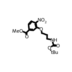 COC(=O)c1ccc([N+](=O)[O-])c(OCCCNC(=O)OC(C)(C)C)c1